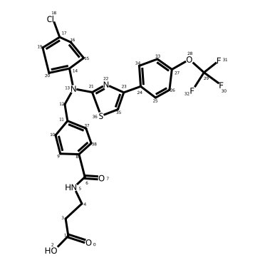 O=C(O)CCNC(=O)c1ccc(CN(c2ccc(Cl)cc2)c2nc(-c3ccc(OC(F)(F)F)cc3)cs2)cc1